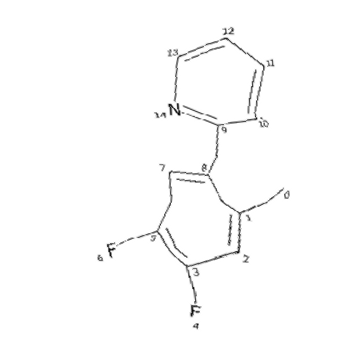 Cc1cc(F)c(F)cc1-c1[c]cccn1